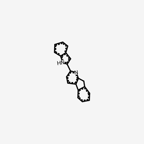 c1ccc2c(c1)Cc1nc(-c3cc4ccccc4[nH]3)ccc1-2